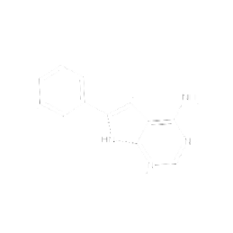 Nc1ncnc2[nH]c(-c3ccccc3)cc12